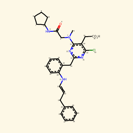 CN(CC(=O)NC1CCCC1)c1nc(Cc2ccccc2NC=CCc2ccccc2)nc(Cl)c1CC(=O)O